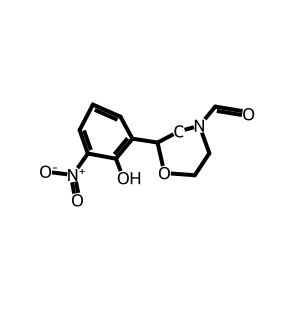 O=CN1CCOC(c2cccc([N+](=O)[O-])c2O)C1